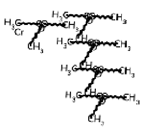 CCCCCCCCOP(OCCCCCCCC)OCCCCCCCC.CCCCCCCCOP(OCCCCCCCC)OCCCCCCCC.CCCCCCCCOP(OCCCCCCCC)OCCCCCCCC.CCCCCCCCOP(OCCCCCCCC)OCCCCCCCC.CCCCCCCCOP(OCCCCCCCC)OCCCCCCCC.[Cr]